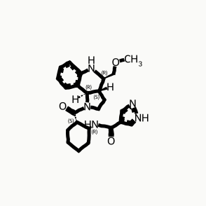 COC[C@@H]1Nc2ccccc2[C@H]2[C@H]1CCN2C(=O)[C@H]1CCCC[C@H]1NC(=O)c1cn[nH]c1